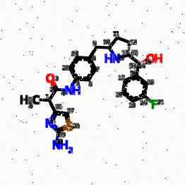 CC(C(=O)Nc1ccc(CC2CC[C@H]([C@H](O)c3cccc(F)c3)N2)cc1)c1csc(N)n1